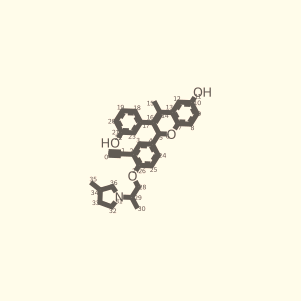 C#Cc1cc(C2Oc3ccc(O)cc3C(C)=C2c2cccc(O)c2)ccc1OCC(C)N1CCC(C)C1